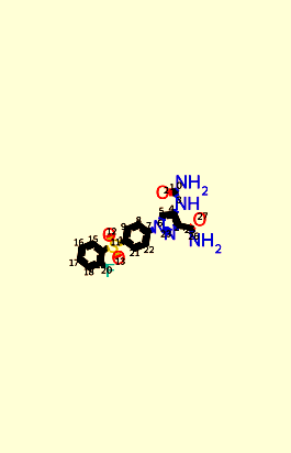 NC(=O)Nc1cn(-c2ccc(S(=O)(=O)c3ccccc3F)cc2)nc1C(N)=O